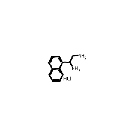 Cl.NCC(N)c1cccc2ccccc12